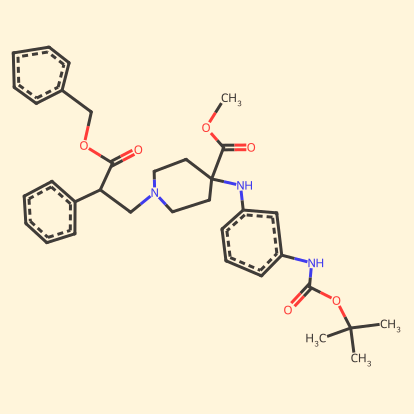 COC(=O)C1(Nc2cccc(NC(=O)OC(C)(C)C)c2)CCN(CC(C(=O)OCc2ccccc2)c2ccccc2)CC1